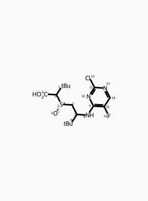 CC(C)(C)C(C[S@+]([O-])C(C(=O)O)C(C)(C)C)Nc1nc(Cl)ncc1F